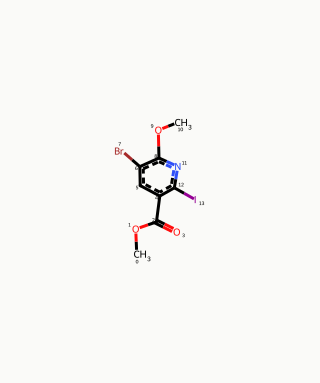 COC(=O)c1cc(Br)c(OC)nc1I